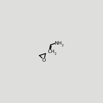 C1CO1.C=CN